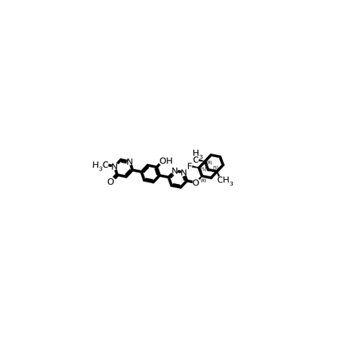 Cn1cnc(-c2ccc(-c3ccc(O[C@@H]4C[C@@]5(C)CCC[C@](C)(C5)[C@@H]4F)nn3)c(O)c2)cc1=O